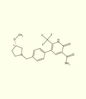 CO[C@H]1CCN(Cc2ccc(-c3cc(C(N)=O)c(=O)[nH]c3C(F)(F)F)cc2)C1